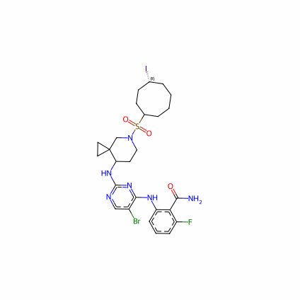 NC(=O)c1c(F)cccc1Nc1nc(NC2CCN(S(=O)(=O)C3CCCC[C@@H](I)CC3)CC23CC3)ncc1Br